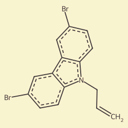 C=CCn1c2ccc(Br)cc2c2cc(Br)ccc21